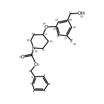 O=C(OCc1ccccc1)N1CCC(Oc2cc(F)cc(CO)c2)CC1